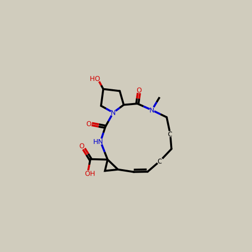 CN1CCCCC=CC2CC2(C(=O)O)NC(=O)N2CC(O)CC2C1=O